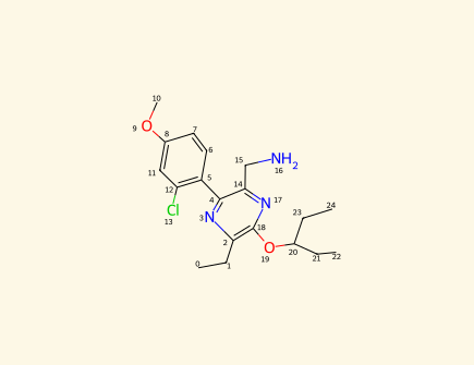 CCc1nc(-c2ccc(OC)cc2Cl)c(CN)nc1OC(CC)CC